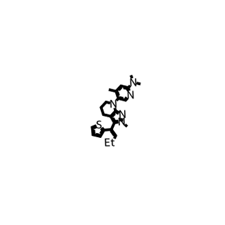 CC/C=C(\c1cccs1)c1c2c(nn1C)N(c1cnc(N(C)C)cc1C)CCC2